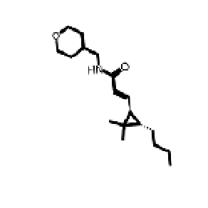 CCCC[C@H]1[C@H](/C=C/C(=O)NCC2CCOCC2)C1(C)C